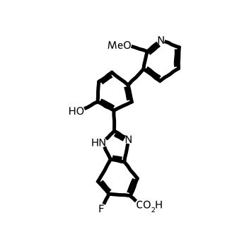 COc1ncccc1-c1ccc(O)c(-c2nc3cc(C(=O)O)c(F)cc3[nH]2)c1